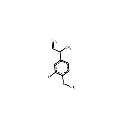 C=C[C](C)c1ccc(SC)c(F)c1